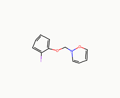 Ic1ccccc1OCN1C=CC=CO1